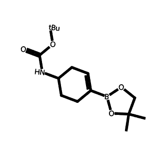 CC(C)(C)OC(=O)NC1CC=C(B2OCC(C)(C)O2)CC1